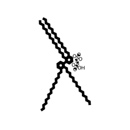 CCCCCCCCCCCCCCCCc1cccc(-c2ccc(OS(=O)(=O)SSS(=O)(=O)O)c(CCCCCCCCCCCCCCCC)c2CCCCCCCCCCCCCCCC)c1CCCCCCCCCCCCCCCC